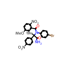 COc1ccc([N+](=O)[O-])c(C(=O)N(c2ccc(Br)cc2)C(C(N)=O)(c2ccc([N+](=O)[O-])cc2)C(C)(C)C)c1